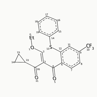 CCOC=C(C(=O)c1ccc(C(F)(F)F)cc1Sc1ccccc1)C(=O)C1CC1